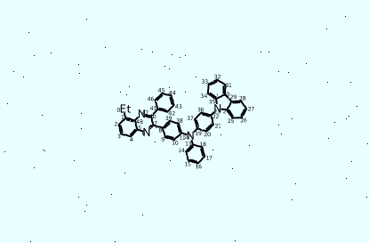 CCc1cccc2nc(-c3ccc(N(c4ccccc4)c4ccc(-n5c6ccccc6c6ccccc65)cc4)cc3)c(-c3ccccc3)nc12